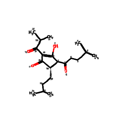 CC(C)CCC(=O)C1C(O)=C(C(=O)C(C)C)C(=O)[C@H]1CCC(C)C